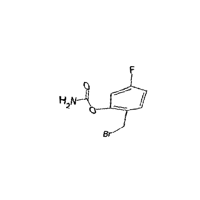 NC(=O)Oc1cc(F)ccc1CBr